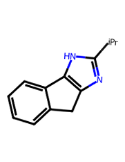 CC(C)c1nc2c([nH]1)-c1ccccc1C2